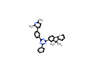 Cc1ccc(-c2cccc(-c3nc(-c4ccccc4)nc(-c4ccc5c(c4)C(C)(C)c4ccccc4-5)n3)c2)c(C)n1